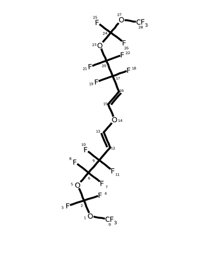 FC(F)(F)OC(F)(F)OC(F)(F)C(F)(F)C=COC=CC(F)(F)C(F)(F)OC(F)(F)OC(F)(F)F